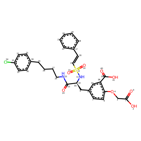 O=C(O)COc1ccc(C[C@H](NS(=O)(=O)C=Cc2ccccc2)C(=O)NCCCCc2ccc(Cl)cc2)cc1C(=O)O